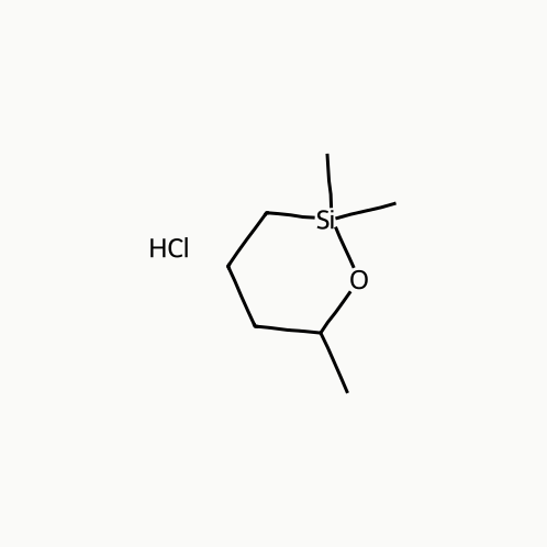 CC1CCC[Si](C)(C)O1.Cl